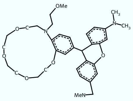 CNCc1ccc2c(c1)Oc1cc(N(C)C)ccc1C2c1ccc2c(c1)OCCOCCOCCOCCN2CCOC